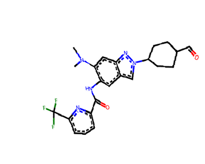 CN(C)c1cc2nn(C3CCC(C=O)CC3)cc2cc1NC(=O)c1cccc(C(F)(F)F)n1